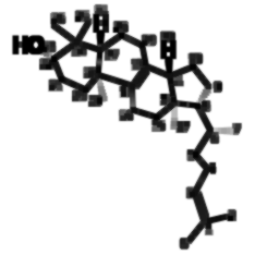 CC(C)=CCC[C@@H](C)[C@H]1CC[C@H]2C3=C(CC[C@]12C)[C@@]1(C)CC[C@H](O)C(C)(C)[C@@H]1CC3